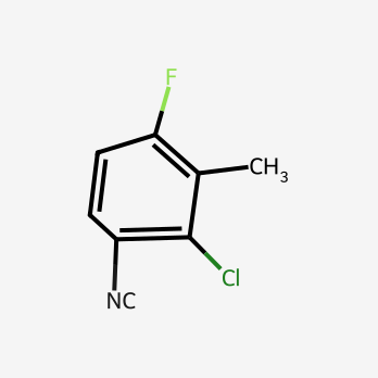 [C-]#[N+]c1ccc(F)c(C)c1Cl